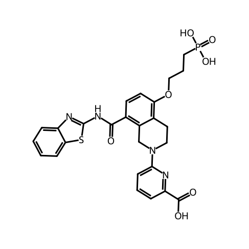 O=C(O)c1cccc(N2CCc3c(OCCCP(=O)(O)O)ccc(C(=O)Nc4nc5ccccc5s4)c3C2)n1